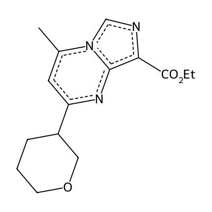 CCOC(=O)c1ncn2c(C)cc(C3CCCOC3)nc12